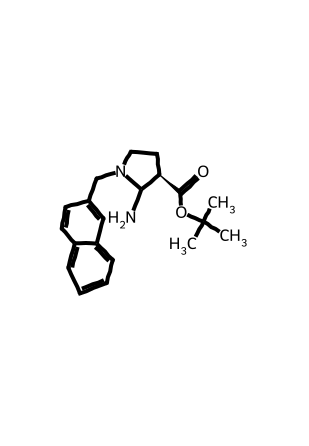 CC(C)(C)OC(=O)[C@@H]1CCN(Cc2ccc3ccccc3c2)C1N